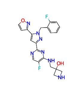 OC1(CNc2nc(-c3cc(-c4ccon4)n(Cc4ccccc4F)n3)ncc2F)CNC1